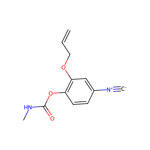 [C-]#[N+]c1ccc(OC(=O)NC)c(OCC=C)c1